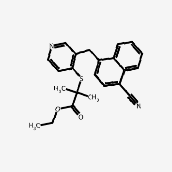 CCOC(=O)C(C)(C)Sc1ccncc1Cc1ccc(C#N)c2ccccc12